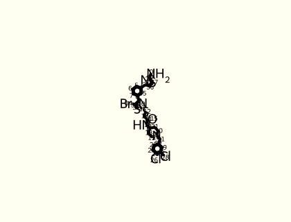 Nc1nc(-c2cccc(-c3nc(SCC(=O)NC4CCN(Cc5ccc(Cl)c(Cl)c5)CC4)sc3Br)c2)cs1